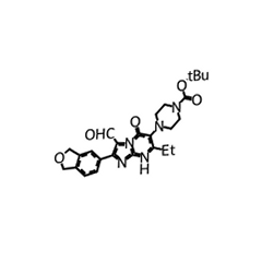 CCc1[nH]c2nc(-c3ccc4c(c3)COC4)c(C=O)n2c(=O)c1N1CCN(C(=O)OC(C)(C)C)CC1